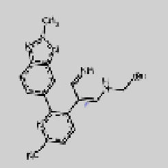 Cn1nc2ccc(-c3nc(C#N)ccc3/C(C=N)=C/NCC(C)(C)C)cc2n1